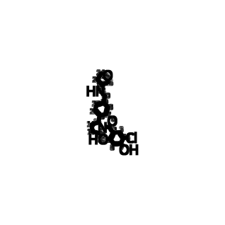 O=C(c1cc(Cl)c(O)cc1O)N1CCCC1c1ccc(CN[C@H]2CCOC2)cc1